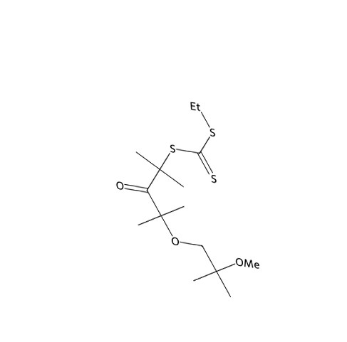 CCSC(=S)SC(C)(C)C(=O)C(C)(C)OCC(C)(C)OC